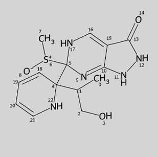 CC(CO)C1(C2([S+](C)[O-])N=c3[nH][nH]c(=O)c3=CN2)C=CC=CN1